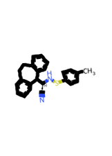 Cc1ccc(SN[C@H](C#N)C2c3ccccc3CCc3ccccc32)cc1